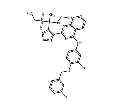 CCNC(C)(c1ccoc1-c1nc(Nc2ccc(OCc3cccc(F)c3)c(Br)c2)c2ccncc2n1)S(=O)(=O)CC